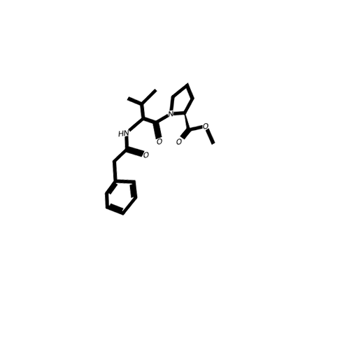 COC(=O)[C@@H]1CCCN1C(=O)C(NC(=O)Cc1ccccc1)C(C)C